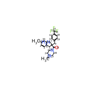 Cc1ccc(CC(CN)(Cc2ccc(C(F)(F)F)cc2)C(=O)N2CCN(C)CC2)cc1